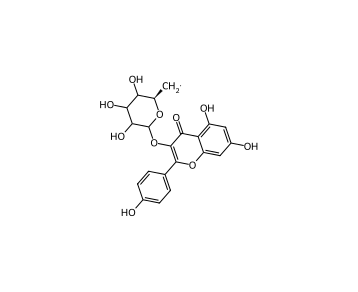 [CH2][C@H]1OC(Oc2c(-c3ccc(O)cc3)oc3cc(O)cc(O)c3c2=O)C(O)C(O)C1O